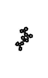 C1=CC2c3c(cccc3-n3c4ccccc4c4cc(-n5c6ccccc6c6ccccc65)ccc43)N(c3ccc4c(c3)c3ccccc3n4-c3ccccc3)C2C=C1